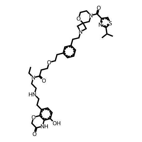 CCN(CCNCCc1ccc(O)c2c1OCC(=O)N2)C(=O)CCOCCc1cccc(CCN2CC3(C2)CN(C(=O)c2csc(C(C)C)n2)CCO3)c1